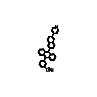 CC(C)(C)c1cccc(-c2c3ccccc3c(-c3ccc4cc(-c5ccncc5)ccc4c3)c3ccccc23)c1